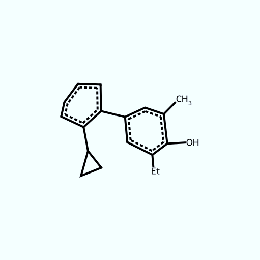 CCc1cc(-c2ccccc2C2CC2)cc(C)c1O